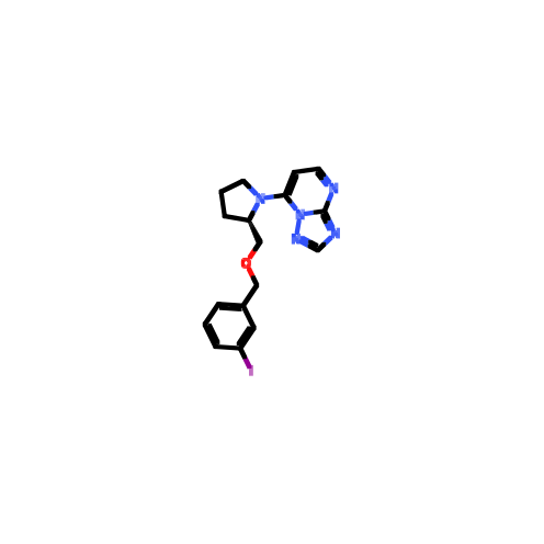 Ic1cccc(COC[C@H]2CCCN2c2ccnc3ncnn23)c1